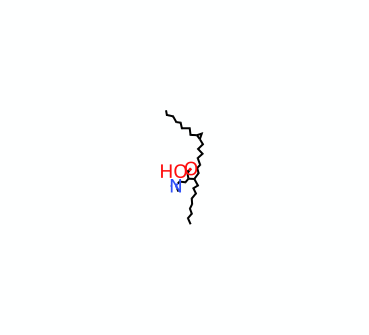 CCCCCCCCCC(CCCCCCCC1CC1CCCCCCCC)C(CCN(C)C)C(=O)O